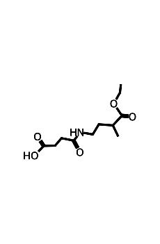 CCOC(=O)C(C)CCNC(=O)CCC(=O)O